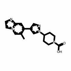 Cc1cn2ccnc2cc1-c1cnn(C2CCN(C(=O)O)CC2)c1